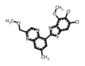 COCc1cnc2c(-c3nc4c(OC)c(Cl)c(Cl)cc4s3)cc(C)cc2n1